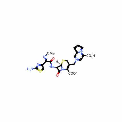 CO/N=C(\C(=O)N[C@@H]1C(=O)N2C(C(=O)[O-])=C(Cn3cc4ccc[n+]-4c(C(=O)O)c3)CS[C@H]12)c1csc(N)n1